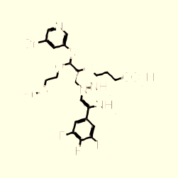 CCOCCOC(Sc1cncc(Br)c1)[C@H](CN(N)/C=C(\N)c1cc(F)c(F)c(F)c1)OCCCC(=O)O